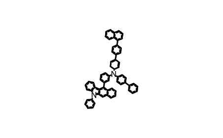 C1=C[C@@H](N(c2ccc(-c3ccccc3)cc2)c2cccc(-c3c4ccccc4cc4c3c3ccccc3n4-c3ccccc3)c2)CC=C1c1ccc(-c2cccc3ccccc23)cc1